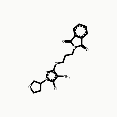 Nc1c(OCCCN2C(=O)c3ccccc3C2=O)nn(C2CCOC2)c1Cl